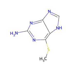 CSc1nc(N)nc2nc[nH]c12